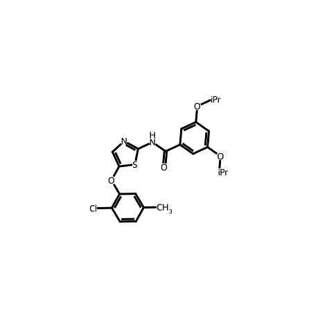 Cc1ccc(Cl)c(Oc2cnc(NC(=O)c3cc(OC(C)C)cc(OC(C)C)c3)s2)c1